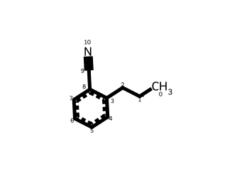 C[CH]Cc1ccccc1C#N